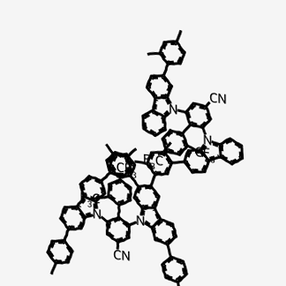 Cc1ccc(-c2ccc3c4ccc(-c5ccc(C)cc5)cc4n(-c4cc(C#N)cc(-n5c6cc(-c7ccc(C)cc7)ccc6c6cc(-c7cc(-c8ccc9c%10ccccc%10n(-c%10cc(C#N)cc(-n%11c%12ccccc%12c%12ccc(-c%13ccc(C)cc%13C)cc%12%11)c%10-c%10ccc(C(F)(F)F)cc%10C(F)(F)F)c9c8)c(C)cc7C)c(-c7ccc(C)cc7)cc65)c4-c4ccc(C(F)(F)F)cc4C(F)(F)F)c3c2)cc1